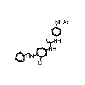 CC(=O)Nc1ccc(NC(=S)Nc2ccc(NCc3ccccc3)c(Cl)c2)cc1